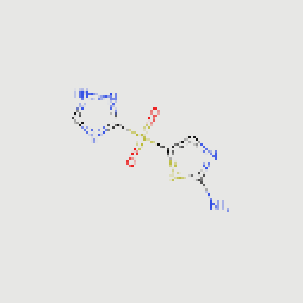 Nc1ncc(S(=O)(=O)c2nc[nH]n2)s1